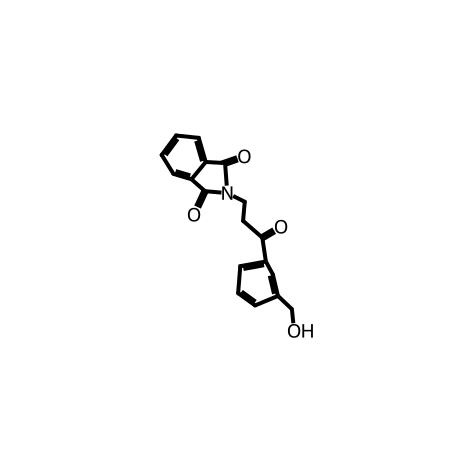 O=C(CCN1C(=O)c2ccccc2C1=O)c1cccc(CO)c1